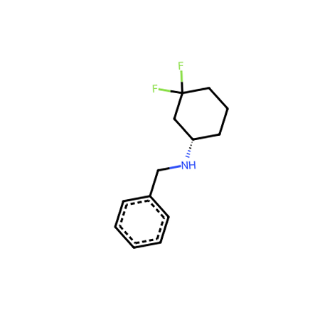 FC1(F)CCC[C@H](NCc2ccccc2)C1